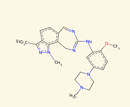 CCOC(=O)c1nn(C)c2c3c(ccc12)C=NC(Nc1cc(N2CCN(C)CC2)ccc1OC(F)(F)F)=NC3